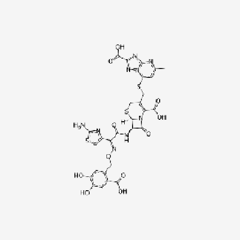 Cc1cc(SCC2=C(C(=O)O)N3C(=O)[C@@H](NC(=O)C(=NOCc4cc(O)c(O)cc4C(=O)O)c4csc(N)n4)[C@H]3SC2)n2nc(C(=O)O)nc2n1